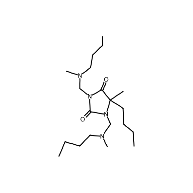 CCCCN(C)CN1C(=O)N(CN(C)CCCC)C(C)(CCCC)C1=O